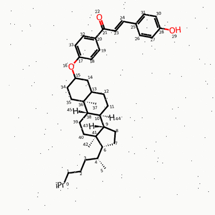 CC(C)CCC[C@@H](C)[C@H]1CC[C@H]2[C@@H]3CCC4CC(Oc5ccc(C(=O)C=Cc6ccc(O)cc6)cc5)CC[C@]4(C)[C@H]3CC[C@]12C